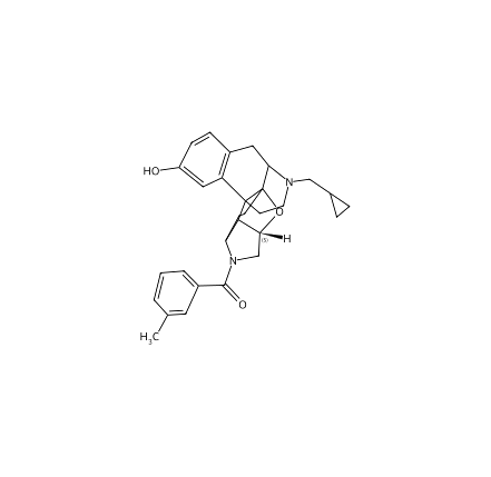 Cc1cccc(C(=O)N2C[C@H]3OC45CCC2C3C42CCN(CC3CC3)C5Cc3ccc(O)cc32)c1